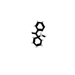 COC1(C(C)c2ccccc2)C=CC=CC1